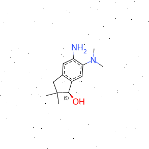 CN(C)c1cc2c(cc1N)CC(C)(C)[C@@H]2O